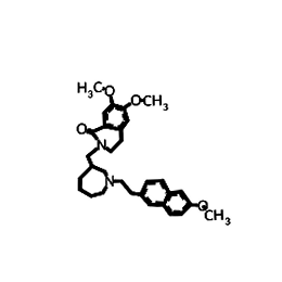 COc1ccc2cc(CCN3CCCCC(CN4CCc5cc(OC)c(OC)cc5C4=O)C3)ccc2c1